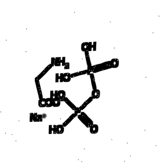 NCC(=O)[O-].O=P(O)(O)OP(=O)(O)O.[Na+]